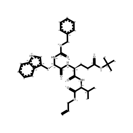 C=CCOC(=O)[C@@H](NC(=O)[C@H](CCC(=O)OC(C)(C)C)NC(=O)[C@H](Cc1c[nH]c2ccccc12)NC(=O)OCc1ccccc1)C(C)C